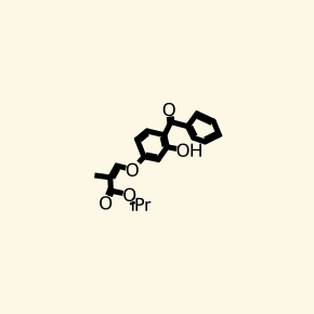 CC(=COc1ccc(C(=O)c2ccccc2)c(O)c1)C(=O)OC(C)C